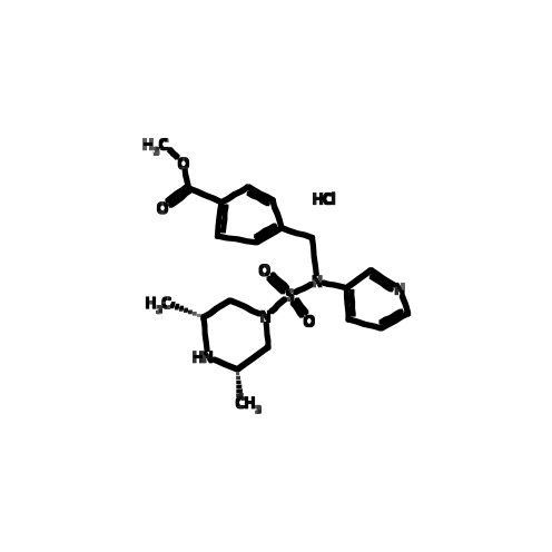 COC(=O)c1ccc(CN(c2cccnc2)S(=O)(=O)N2C[C@@H](C)N[C@@H](C)C2)cc1.Cl